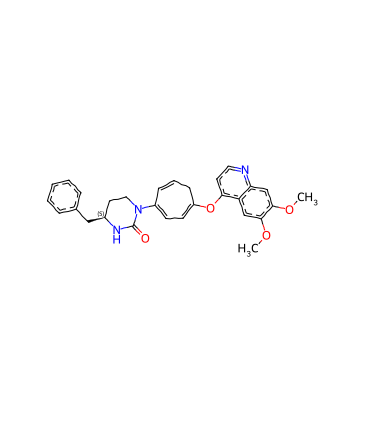 COc1cc2nccc(OC3=CC=C(N4CC[C@H](Cc5ccccc5)NC4=O)C=CC3)c2cc1OC